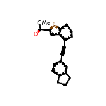 COC(=O)c1cc2c(C#Cc3ccc4c(c3)CCC4)cccc2s1